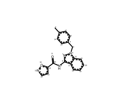 Cc1ccc(Cn2nc(NC(=O)c3ccno3)c3ccccc32)cc1